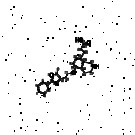 Cc1oc(-c2ccccc2)nc1CCOc1ccc(CCC(=O)O)c2c1CCNC2